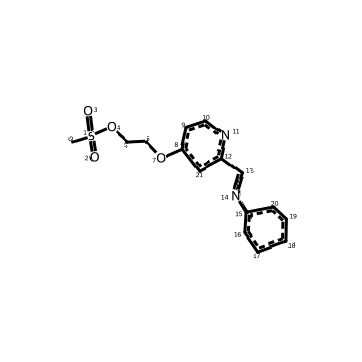 CS(=O)(=O)OCCOc1ccnc(/C=N/c2ccccc2)c1